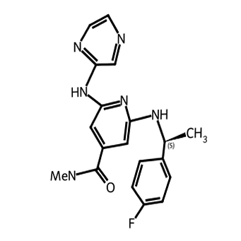 CNC(=O)c1cc(Nc2cnccn2)nc(N[C@@H](C)c2ccc(F)cc2)c1